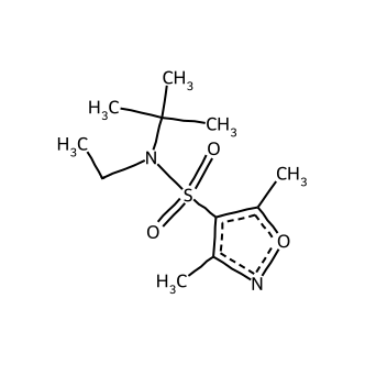 CCN(C(C)(C)C)S(=O)(=O)c1c(C)noc1C